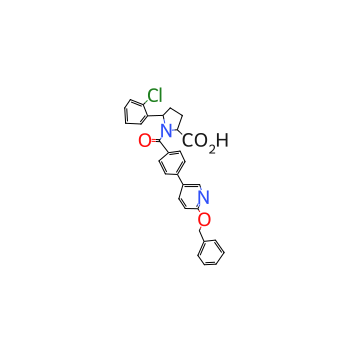 O=C(O)C1CCC(c2ccccc2Cl)N1C(=O)c1ccc(-c2ccc(OCc3ccccc3)nc2)cc1